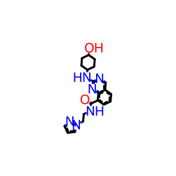 O=C(NCCn1cccn1)c1cccc2cnc(NC3CCC(O)CC3)nc12